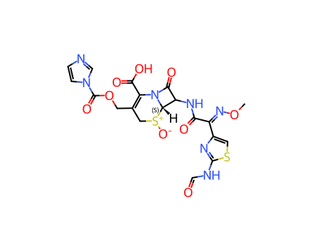 CON=C(C(=O)NC1C(=O)N2C(C(=O)O)=C(COC(=O)n3ccnc3)C[S+]([O-])[C@@H]12)c1csc(NC=O)n1